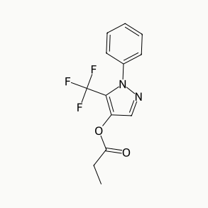 CCC(=O)Oc1cnn(-c2ccccc2)c1C(F)(F)F